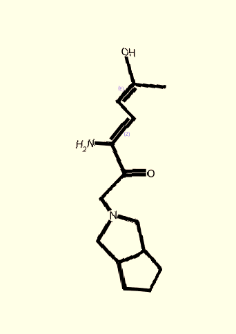 C/C(O)=C\C=C(/N)C(=O)CN1CC2CCCC2C1